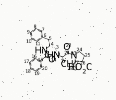 C[C@H](NC[C@@H](Cc1ccccc1)NC(=O)c1ccccc1)C(=O)N1CCC[C@H]1C(=O)O